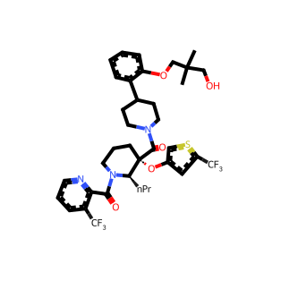 CCC[C@H]1N(C(=O)c2ncccc2C(F)(F)F)CCC[C@@]1(Oc1csc(C(F)(F)F)c1)C(=O)N1CCC(c2ccccc2OCC(C)(C)CO)CC1